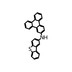 c1ccc2c(c1)sc1ccc(Nc3ccc4c5ccccc5c5ccccc5c4c3)cc12